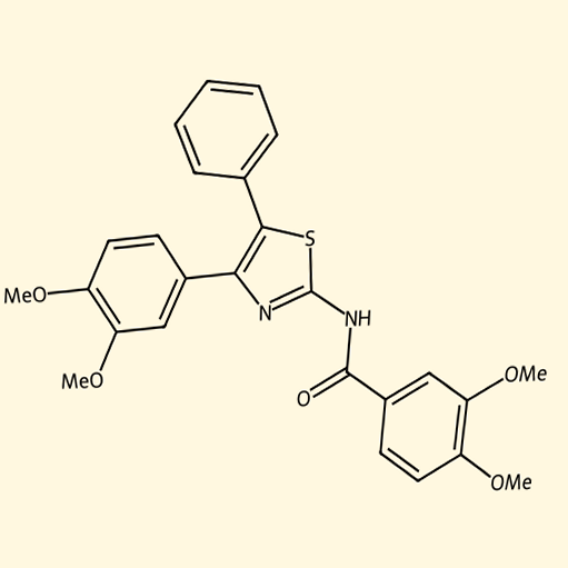 COc1ccc(C(=O)Nc2nc(-c3ccc(OC)c(OC)c3)c(-c3ccccc3)s2)cc1OC